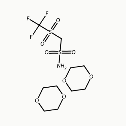 C1COCCO1.C1COCCO1.NS(=O)(=O)CS(=O)(=O)C(F)(F)F